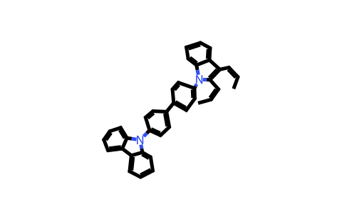 C/C=C\c1c(/C=C\C)n(-c2ccc(-c3ccc(-n4c5ccccc5c5ccccc54)cc3)cc2)c2ccccc12